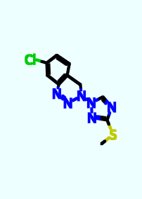 CSc1ncn(N2Cc3ccc(Cl)cc3N=N2)n1